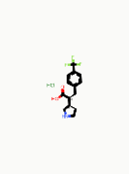 Cl.O=C(O)[C@@H](Cc1ccc(C(F)(F)F)cc1)[C@H]1CCNC1